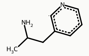 CC(N)Cc1[c]nccc1